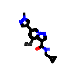 COc1cc(-c2cnn(C)c2)cn2ncc(C(=O)NCC3CC3)c12